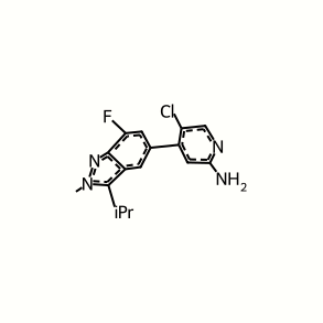 CC(C)c1c2cc(-c3cc(N)ncc3Cl)cc(F)c2nn1C